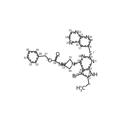 CCc1[nH]c2nc(Sc3cnc4nccnc4c3)nc(N3CC(NC(=O)OCc4ccccc4)C3)c2c1Br